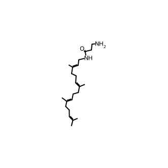 CC(C)=CCCC(C)=CCCC(C)=CCCC(C)=CCNC(=O)CCN